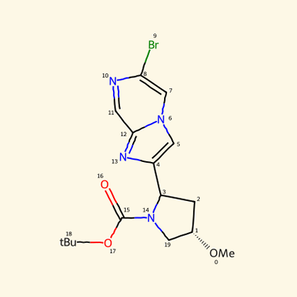 CO[C@H]1CC(c2cn3cc(Br)ncc3n2)N(C(=O)OC(C)(C)C)C1